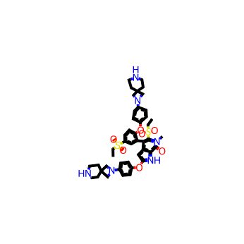 CCS(=O)(=O)c1ccc(Oc2ccc(N3CC4(CCNCC4)C3)cc2)c(-c2c(S(=O)(=O)CC)n(C)c(=O)c3[nH]c(Oc4ccc(N5CC6(CCNCC6)C5)cc4)cc23)c1